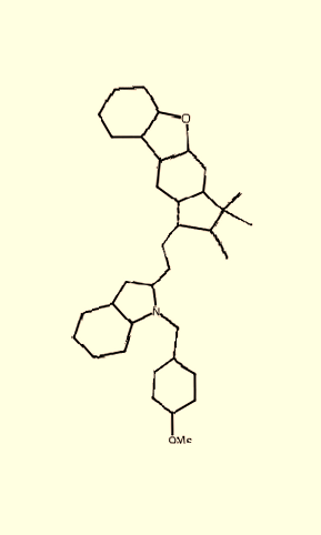 COC1CCC(CN2C(CCC3C4CC5C(CC4C(C)(C)C3C)OC3CCCCC35)CC3CCCCC32)CC1